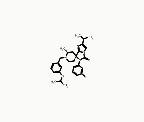 CC(C)Oc1cccc(CN2CC[C@@]3(C[C@@H]2C)c2nc(C(C)C)cn2C(=O)N3c2cccc(F)c2)c1